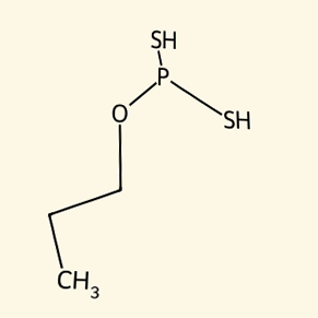 CCCOP(S)S